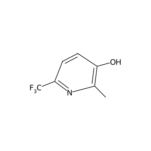 Cc1nc(C(F)(F)F)ccc1O